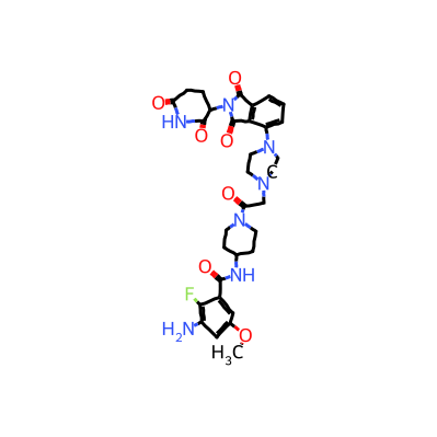 COc1cc(N)c(F)c(C(=O)NC2CCN(C(=O)CN3CCN(c4cccc5c4C(=O)N(C4CCC(=O)NC4=O)C5=O)CC3)CC2)c1